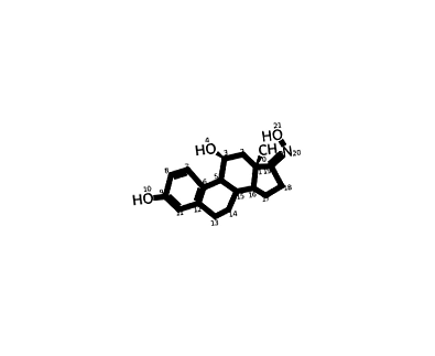 C[C@]12C[C@H](O)C3c4ccc(O)cc4CCC3C1CC/C2=N/O